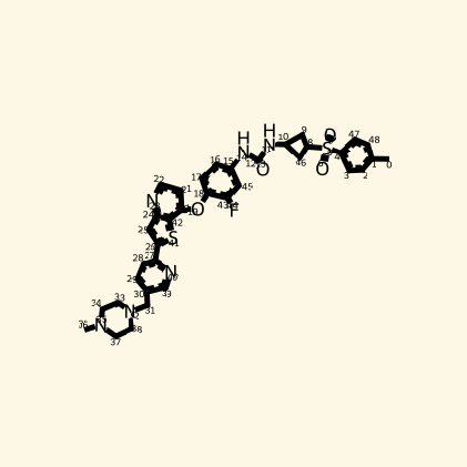 Cc1ccc(S(=O)(=O)C2CC(NC(=O)Nc3ccc(Oc4ccnc5cc(-c6ccc(CN7CCN(C)CC7)cn6)sc45)c(F)c3)C2)cc1